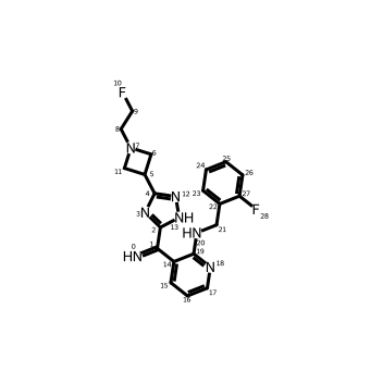 N=C(c1nc(C2CN(CCF)C2)n[nH]1)c1cccnc1NCc1ccccc1F